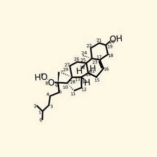 CC(C)CCC[C@](C)(OO)[C@H]1CC[C@H]2[C@@H]3CC=C4CC(O)CC[C@]4(C)[C@H]3CC[C@@]21C